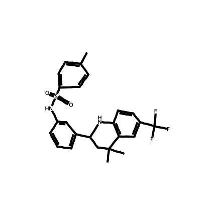 Cc1ccc(S(=O)(=O)Nc2cccc(C3CC(C)(C)c4cc(C(F)(F)F)ccc4N3)c2)cc1